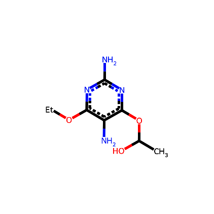 CCOc1nc(N)nc(OC(C)O)c1N